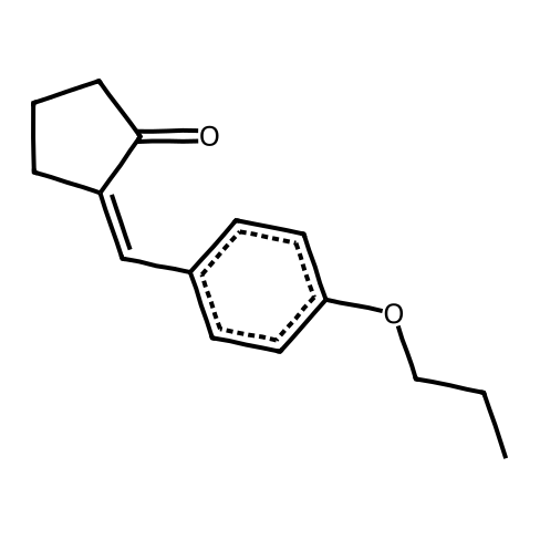 CCCOc1ccc(/C=C2/CCCC2=O)cc1